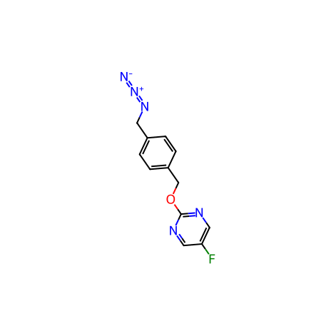 [N-]=[N+]=NCc1ccc(COc2ncc(F)cn2)cc1